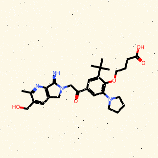 Cc1nc2c(cc1CO)CN(CC(=O)c1cc(N3CCCC3)c(OCCCC(=O)O)c(C(C)(C)C)c1)C2=N